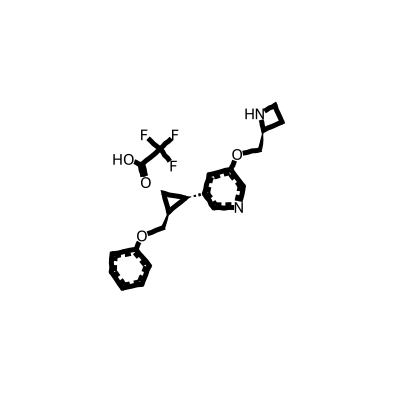 O=C(O)C(F)(F)F.c1ccc(OC[C@H]2C[C@@H]2c2cncc(OC[C@@H]3CCN3)c2)cc1